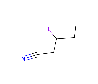 CCC(I)CC#N